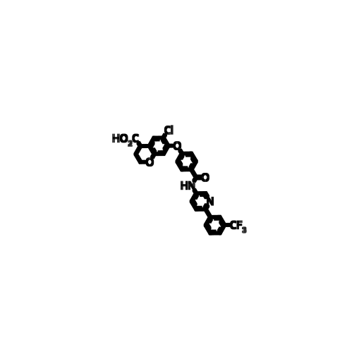 O=C(Nc1ccc(-c2cccc(C(F)(F)F)c2)nc1)c1ccc(Oc2cc3c(cc2Cl)C(C(=O)O)CCO3)cc1